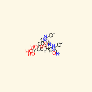 CC(CO)CO.Cc1ccc(-c2nc3ccc(C)cn3c2CC(=O)N(C)C)cc1.Cc1ccc(-c2nc3ccc(C)cn3c2CC(=O)N(C)C)cc1.O=C(O)C(O)C(O)C(=O)O